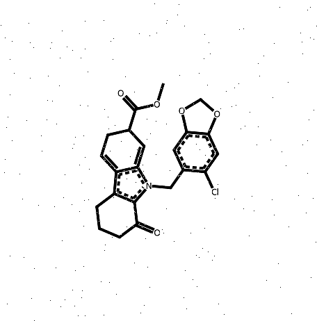 COC(=O)C1C=c2c(c3c(n2Cc2cc4c(cc2Cl)OCO4)C(=O)CCC3)=CC1